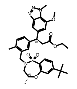 CCOC(=O)C[C@@H](c1ccc(C)c(CN2C[C@@H](C)Oc3cc(C(C)(C)C)ccc3S2(=O)=O)c1)c1cc(OC)c2c(c1)nnn2C